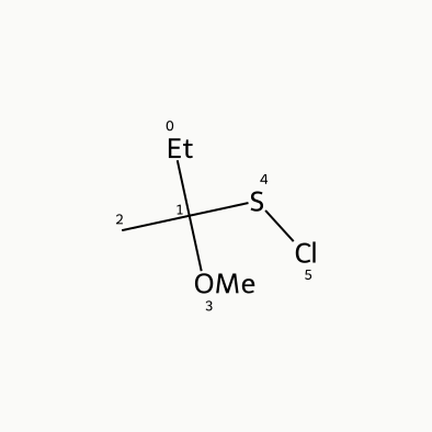 CCC(C)(OC)SCl